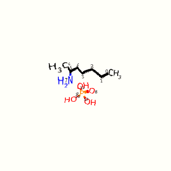 CCCCCC(C)N.O=P(O)(O)O